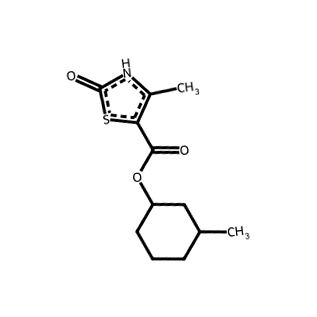 Cc1[nH]c(=O)sc1C(=O)OC1CCCC(C)C1